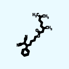 CC(C)CCCC(C)CC(=O)OCCCCC(c1ccccc1)C(C#N)C#N